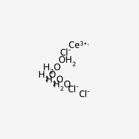 O.O.O.O.O.[Ce+3].[Cl-].[Cl-].[Cl-]